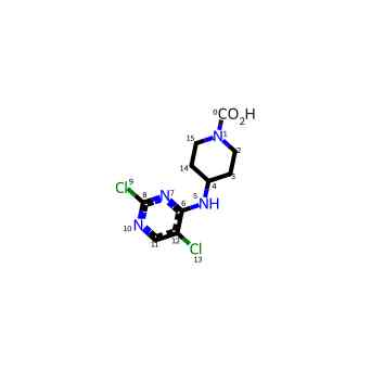 O=C(O)N1CCC(Nc2nc(Cl)ncc2Cl)CC1